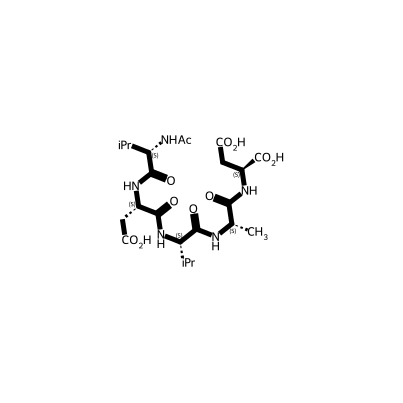 CC(=O)N[C@H](C(=O)N[C@@H](CC(=O)O)C(=O)N[C@H](C(=O)N[C@@H](C)C(=O)N[C@@H](CC(=O)O)C(=O)O)C(C)C)C(C)C